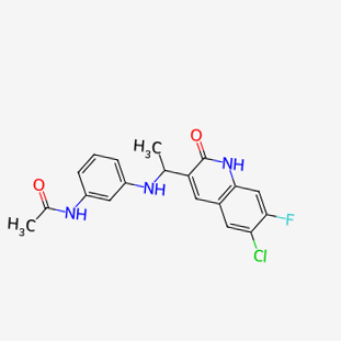 CC(=O)Nc1cccc(NC(C)c2cc3cc(Cl)c(F)cc3[nH]c2=O)c1